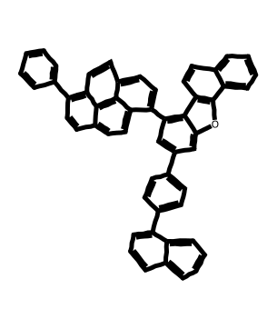 c1ccc(-c2ccc3ccc4c(-c5cc(-c6ccc(-c7cccc8ccccc78)cc6)cc6oc7c8ccccc8ccc7c56)ccc5ccc2c3c54)cc1